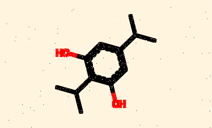 CC(C)c1cc(O)c(C(C)C)c(O)c1